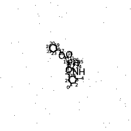 Cc1cc(C)c(NC(=O)C2([PH](C)(C)CC(=O)OCc3ccccc3)CCC2)c(C)c1